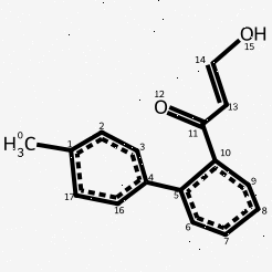 Cc1ccc(-c2ccccc2C(=O)C=CO)cc1